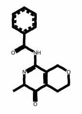 CC1N=C(NC(=O)c2ccccc2)C2=C(CCOC2)C1=O